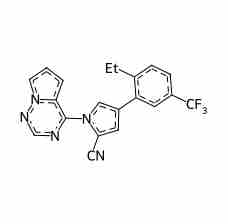 CCc1ccc(C(F)(F)F)cc1-c1cc(C#N)n(-c2ncnn3cccc23)c1